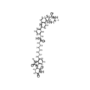 C[C@@H]1CNc2c(sc3ccc4nc(-c5cccc(CNC(=O)CCCCCCCc6cccc7c6n(C)c(=O)n7C6CCC(=O)NC6=O)c5)ccc4c23)C(=O)N1